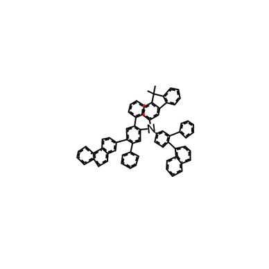 CC1(C)c2ccccc2-c2cc(N(c3ccc(-c4cccc5ccccc45)c(-c4ccccc4)c3)c3cc(-c4ccccc4)c(-c4ccc5c(ccc6ccccc65)c4)cc3-c3ccccc3)ccc21